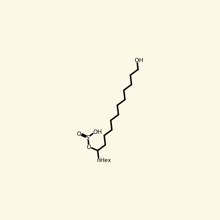 CCCCCCC(CCCCCCCCCCCO)OS(=O)O